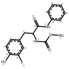 CC(C)(C)OC(=O)NC(Cc1ccc(O)c(F)c1)C(=O)Nc1ccccc1